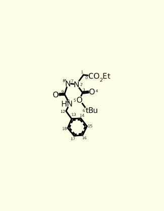 CCOC(=O)CN(C(=O)OC(C)(C)C)N(C)C(=O)NCc1ccccc1